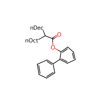 CCCCCCCCCCC(CCCCCCCC)C(=O)Oc1ccccc1-c1ccccc1